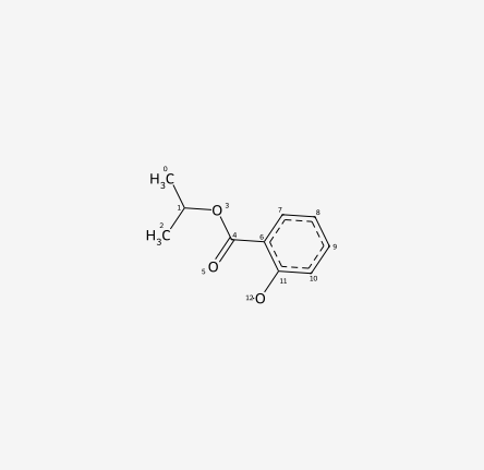 CC(C)OC(=O)c1ccccc1[O]